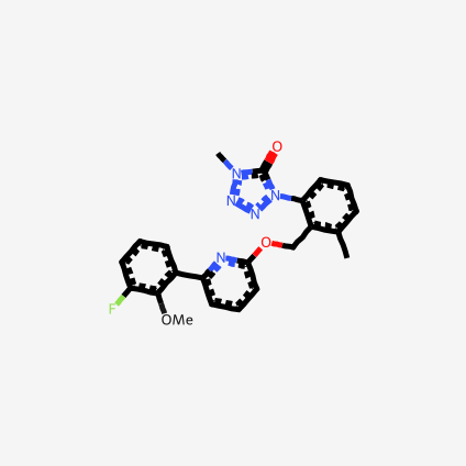 COc1c(F)cccc1-c1cccc(OCc2c(C)cccc2-n2nnn(C)c2=O)n1